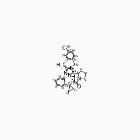 Cc1nnc(C2CCCN2C(=O)NC2(c3ccccc3)CC2)n1Cc1ccc(Cl)cc1